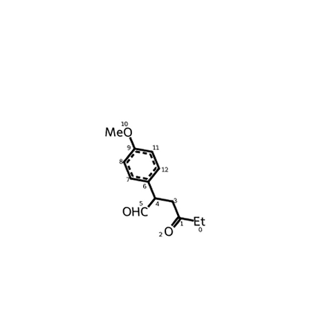 CCC(=O)CC(C=O)c1ccc(OC)cc1